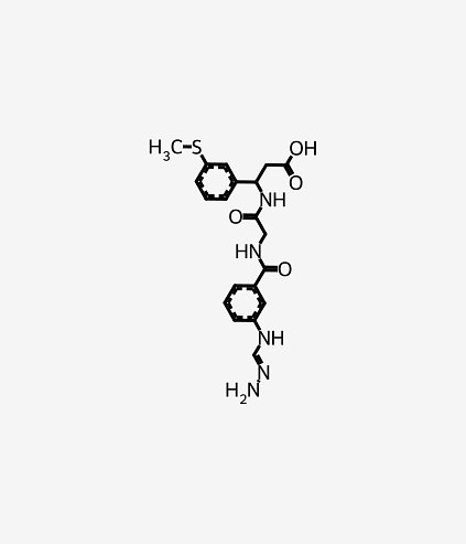 CSc1cccc(C(CC(=O)O)NC(=O)CNC(=O)c2cccc(NC=NN)c2)c1